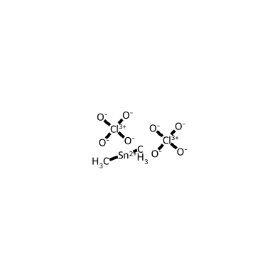 [CH3][Sn+2][CH3].[O-][Cl+3]([O-])([O-])[O-].[O-][Cl+3]([O-])([O-])[O-]